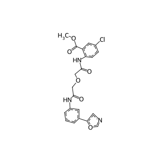 COC(=O)c1cc(Cl)ccc1NC(=O)COCC(=O)Nc1cccc(-c2cnco2)c1